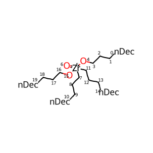 CCCCCCCCCCCCC[O][Zr](=[O])([CH2]CCCCCCCCCCCC)([CH2]CCCCCCCCCCCC)[O]CCCCCCCCCCCCC